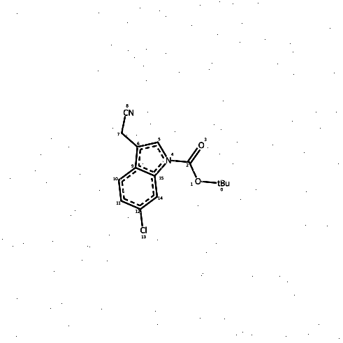 CC(C)(C)OC(=O)n1cc(CC#N)c2ccc(Cl)cc21